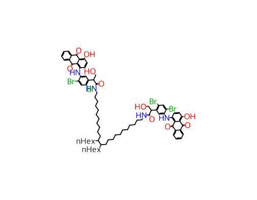 CCCCCCC(CCCCCCCCCCCNC(=O)C(CO)c1cc(Nc2ccc(O)c3c2C(=O)c2ccccc2C3=O)c(Br)cc1Br)C(CCCCCC)CCCCCCCCCCCNC(=O)C(CO)c1cc(Nc2ccc(O)c3c2C(=O)c2ccccc2C3=O)c(Br)cc1Br